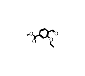 CCOc1cc(C(=O)OC)ccc1C=O